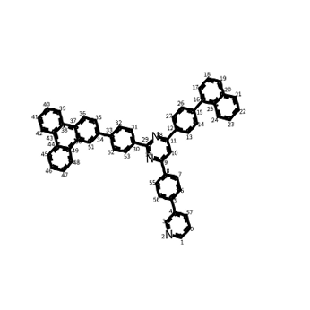 c1cncc(-c2ccc(-c3cc(-c4ccc(-c5cccc6ccccc56)cc4)nc(-c4ccc(-c5ccc6c7ccccc7c7ccccc7c6c5)cc4)n3)cc2)c1